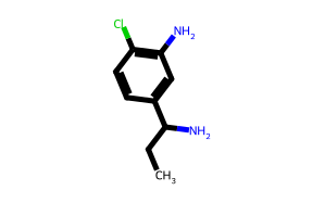 CCC(N)c1ccc(Cl)c(N)c1